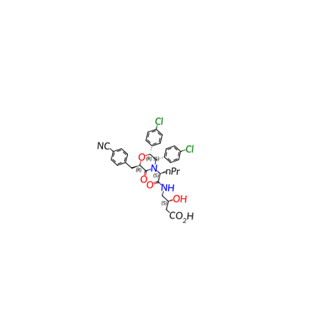 CCC[C@@H](C(=O)NC[C@@H](O)CC(=O)O)N1C(=O)[C@@H](Cc2ccc(C#N)cc2)O[C@H](c2ccc(Cl)cc2)[C@@H]1c1ccc(Cl)cc1